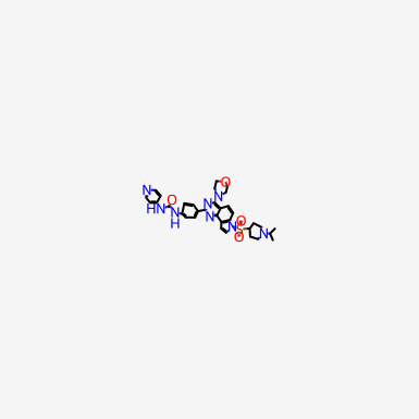 CC(C)N1CCC(S(=O)(=O)n2ccc3c4nc(-c5ccc(NC(=O)Nc6ccncc6)cc5)nc(N5CCOCC5)c4ccc32)CC1